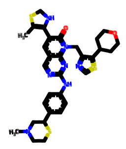 CC1=C(c2cc3cnc(Nc4ccc(C5CN(C)CCS5)cc4)nc3n(Cc3ncsc3C3CCOCC3)c2=O)NCS1